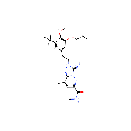 CCCOc1cc(CCn2nc3c(C)cc(C(=O)N(C)C)nn3/c2=N/C)cc(C(C)(C)C)c1OC